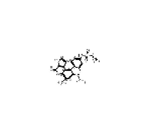 CCS(=O)(=O)Nc1ccc(-c2c(OC)cc(C)c3[nH]c(=O)c4sccc4c23)cc1